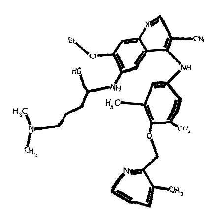 CCOc1cc2ncc(C#N)c(Nc3cc(C)c(OCc4ncccc4C)c(C)c3)c2cc1NC(O)CCCN(C)C